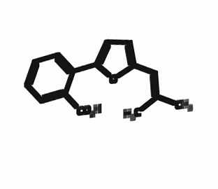 CC(C)=Cc1ccc(-c2ccccc2C(=O)O)o1